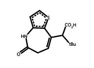 CC(C)(C)C(C(=O)O)C1=CCC(=O)Nc2ccsc21